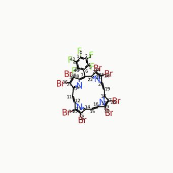 Fc1c(F)c(F)c(C2=C3N=C(C=C4N=C(C=C5N=C(C=C6N=C2C(Br)=C6Br)C(Br)=C5Br)C(Br)=C4Br)C(Br)=C3Br)c(F)c1F